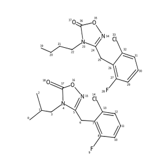 CC(C)Cn1c(Cc2c(F)cccc2Cl)noc1=O.CCCCn1c(Cc2c(F)cccc2Cl)noc1=O